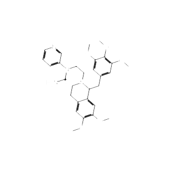 COc1cc2c(cc1OC)C(Cc1cc(OC)c(OC)c(OC)c1)N(CCN(C(N)=O)c1cccnc1)CC2